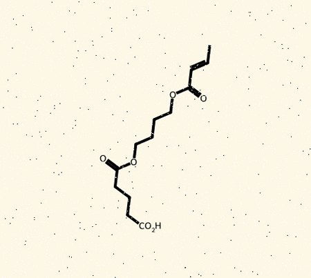 CC=CC(=O)OCCCCOC(=O)CCCC(=O)O